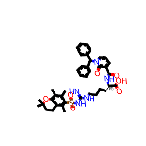 Cc1c(C)c(S(=O)(=O)NC(=N)NCCCC[C@H](NC(=O)c2cccn(C(c3ccccc3)c3ccccc3)c2=O)C(=O)O)c(C)c2c1OC(C)(C)CC2